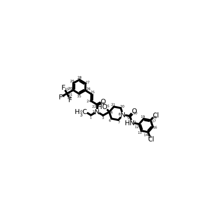 CCN(CC1(O)CCN(C(=O)Nc2cc(Cl)cc(Cl)c2)CC1)C(=O)/C=C/c1cccc(C(F)(F)F)c1